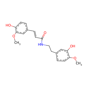 COc1ccc(CCNC(=O)C=Cc2ccc(O)c(OC)c2)cc1O